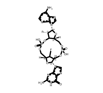 Nc1nc2c(ncn2[C@@H]2O[C@@H]3COP(=O)(O)OC4[C@@H](COP(=O)(O)O[C@H]2C3F)O[C@@H](n2cnc3c(N)ccnc32)[C@H]4F)c(=O)[nH]1